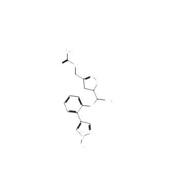 CC(Oc1ccccc1-c1cnn(C)c1)C1CC(COC(N)=O)=NO1